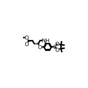 COC(=O)CC[C@H]1CNc2cc(B3OC(C)(C)C(C)(C)O3)ccc2O1